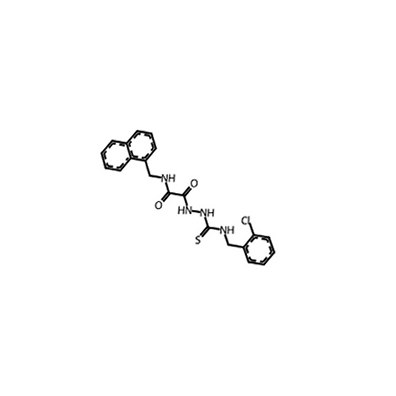 O=C(NCc1cccc2ccccc12)C(=O)NNC(=S)NCc1ccccc1Cl